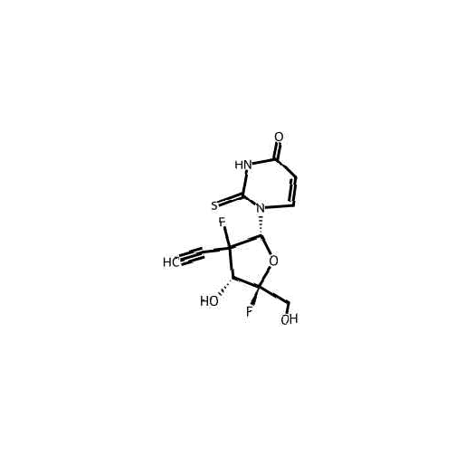 C#CC1(F)[C@@H](O)[C@@](F)(CO)O[C@H]1n1ccc(=O)[nH]c1=S